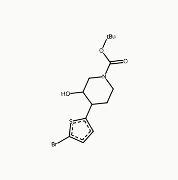 CC(C)(C)OC(=O)N1CCC(c2ccc(Br)s2)C(O)C1